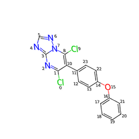 Clc1nc2ncnn2c(Cl)c1-c1ccc(Oc2ccccc2)cc1